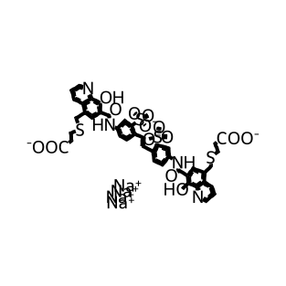 O=C([O-])CCSCc1cc(C(=O)Nc2ccc(C=Cc3ccc(NC(=O)c4cc(CSCCC(=O)[O-])c5cccnc5c4O)cc3S(=O)(=O)[O-])c(S(=O)(=O)[O-])c2)c(O)c2ncccc12.[Na+].[Na+].[Na+].[Na+]